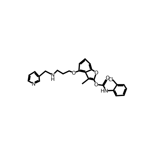 Cc1c(OC(=O)Nc2ccccc2Cl)oc2cccc(OCCCNCc3cccnc3)c12